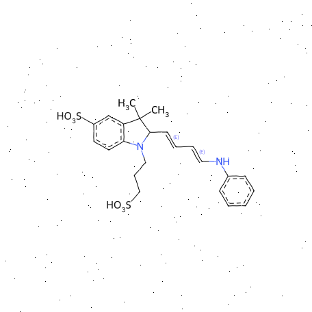 CC1(C)c2cc(S(=O)(=O)O)ccc2N(CCCS(=O)(=O)O)C1/C=C/C=C/Nc1ccccc1